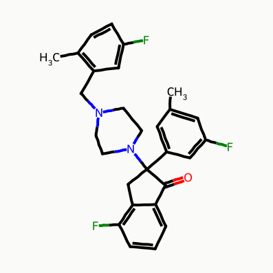 Cc1cc(F)cc(C2(N3CCN(Cc4cc(F)ccc4C)CC3)Cc3c(F)cccc3C2=O)c1